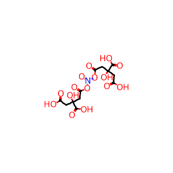 O=C(O)CC(O)(CC(=O)O[N+](=O)OC(=O)CC(O)(CC(=O)O)C(=O)O)C(=O)O